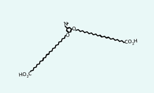 CN(C)Cc1cc(OCCCCCCCCCCCC=CCC=CCCCCCCCC(=O)O)cc(OCCCCCCCCCCCC=CCC=CCCCCCCCC(=O)O)c1